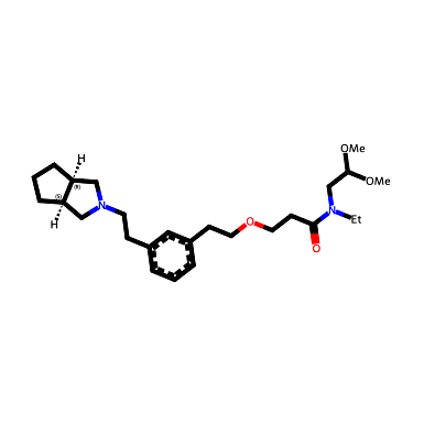 CCN(CC(OC)OC)C(=O)CCOCCc1cccc(CCN2C[C@H]3CCC[C@H]3C2)c1